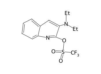 CCN(CC)c1cc2ccccc2nc1OS(=O)(=O)C(F)(F)F